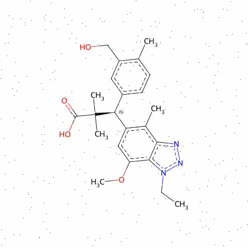 CCn1nnc2c(C)c([C@H](c3ccc(C)c(CO)c3)C(C)(C)C(=O)O)cc(OC)c21